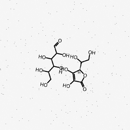 O=C1O[C@H](C(O)CO)C(O)=C1O.O=CC(O)C(O)C(O)C(O)CO